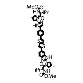 COC(=O)N[C@H](C(=O)N1C[C@@H](C)C[C@H]1c1ncc(-c2ccc(-c3cc4sc(-c5ccc6nc([C@@H]7C[C@H](C)CN7C(=O)[C@@H](NC(=O)OC)C(C)C)[nH]c6c5)cc4s3)cc2)[nH]1)C(C)C